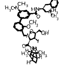 COc1c(CN2O[C@@H](CO)[C@@H](I)[C@H]2C(=O)N[C@H]2C[C@H]3C[C@@H]([C@@H]2C)C3(C)C)cccc1-c1cc(C(=O)N[C@@H](Cc2ccccc2)CN(C)C)cc(N(C)C)c1